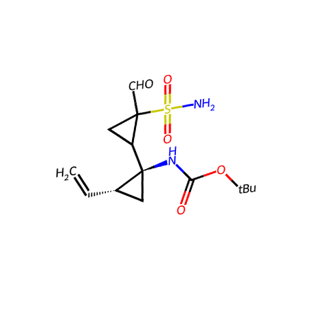 C=C[C@H]1C[C@@]1(NC(=O)OC(C)(C)C)C1CC1(C=O)S(N)(=O)=O